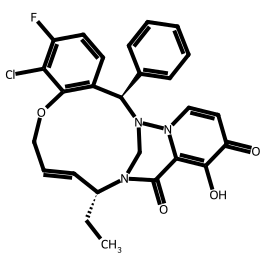 CC[C@@H]1/C=C/COc2c(ccc(F)c2Cl)[C@@H](c2ccccc2)N2CN1C(=O)c1c(O)c(=O)ccn12